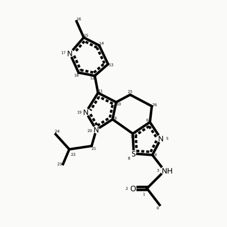 CC(=O)Nc1nc2c(s1)-c1c(c(-c3ccc(C)nc3)nn1CC(C)C)CC2